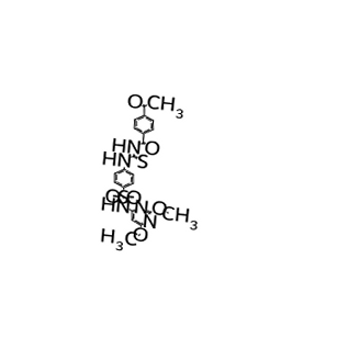 COc1cc(NS(=O)(=O)c2ccc(NC(=S)NC(=O)c3ccc(C(C)=O)cc3)cc2)nc(OC)n1